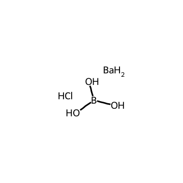 Cl.OB(O)O.[BaH2]